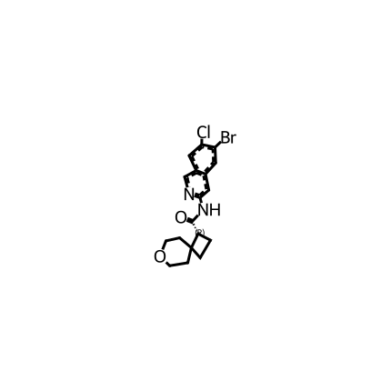 O=C(Nc1cc2cc(Br)c(Cl)cc2cn1)[C@@H]1CCC12CCOCC2